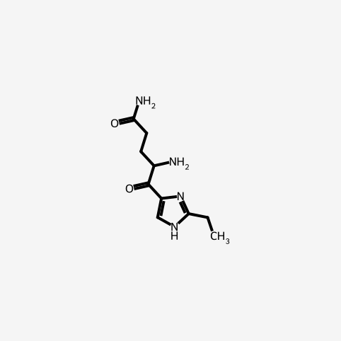 CCc1nc(C(=O)C(N)CCC(N)=O)c[nH]1